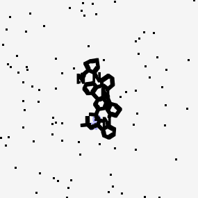 C=C(C)/C=c1\c(=C(/C)c2cccc(-c3cccc4c3c3ccccc3n4-c3ccccc3C#N)c2)n(-c2cccc(C#N)c2)c2ccccc12